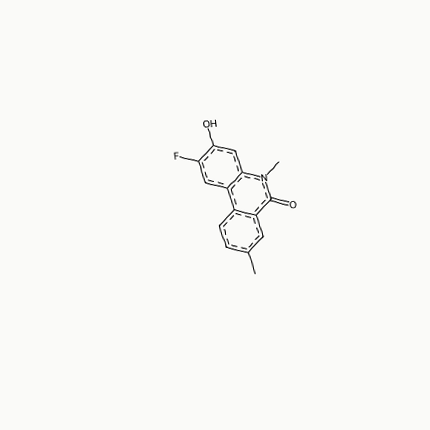 Cc1ccc2c(c1)c(=O)n(C)c1cc(O)c(F)cc21